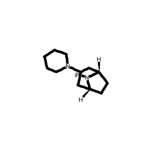 CC(C)N1[C@@H]2CC[C@H]1CC(N1CCCCC1)C2